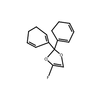 FC1=COC(C2=CCCC=C2)(C2=CC=CCC2)O1